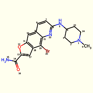 CN1CCC(Nc2ccc3cc4oc(C(N)=O)cc4c(Br)c3n2)CC1